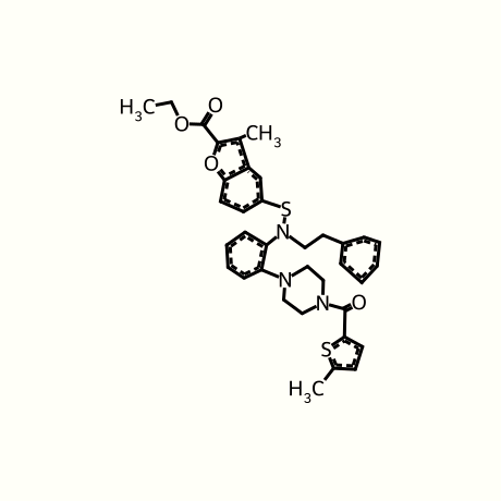 CCOC(=O)c1oc2ccc(SN(CCc3ccccc3)c3ccccc3N3CCN(C(=O)c4ccc(C)s4)CC3)cc2c1C